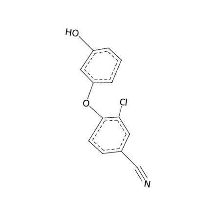 N#Cc1ccc(Oc2cccc(O)c2)c(Cl)c1